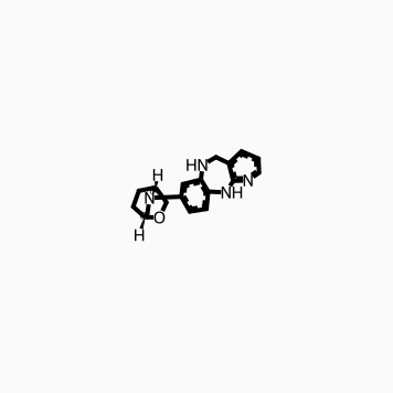 c1cnc2c(c1)CNc1cc(N3C[C@H]4CC[C@@H]3CO4)ccc1N2